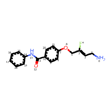 NCC=C(F)COc1ccc(C(=O)Nc2ccccc2)cc1